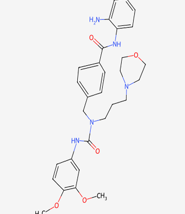 COc1ccc(NC(=O)N(CCCN2CCOCC2)Cc2ccc(C(=O)Nc3ccccc3N)cc2)cc1OC